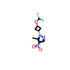 Cc1c([N+](=O)[O-])cnn1[C@H]1C[C@H](OC(F)F)C1